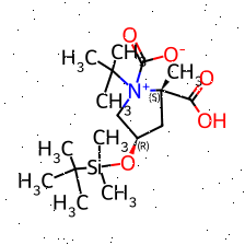 CC(C)(C)[N+]1(C(=O)[O-])C[C@H](O[Si](C)(C)C(C)(C)C)C[C@@]1(C)C(=O)O